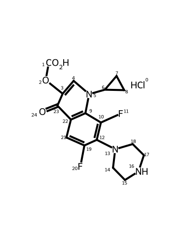 Cl.O=C(O)Oc1cn(C2CC2)c2c(F)c(N3CCNCC3)c(F)cc2c1=O